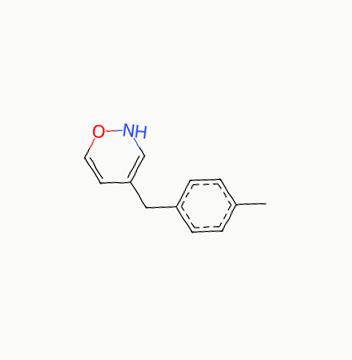 Cc1ccc(CC2=CNOC=C2)cc1